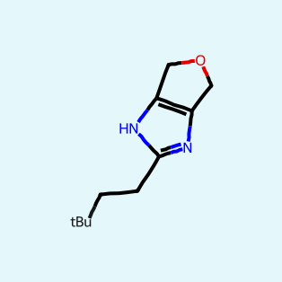 CC(C)(C)CCc1nc2c([nH]1)COC2